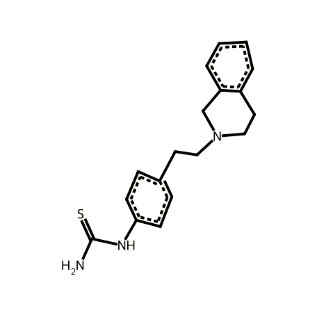 NC(=S)Nc1ccc(CCN2CCc3ccccc3C2)cc1